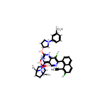 C#Cc1c(F)ccc2cccc(-c3ncc4c(N5C[C@H]6CC[C@@H](C5)N6C(=O)OC(C)(C)C)nc(O[C@@H]5CCN(c6cccc(S(=O)(=O)O)c6)C5)nc4c3F)c12